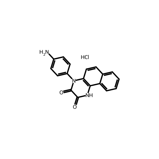 Cl.Nc1ccc(-n2c(=O)c(=O)[nH]c3c4ccccc4ccc32)cc1